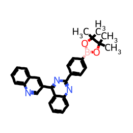 CC1(C)OB(c2ccc(-c3nc(-c4cnc5ccccc5c4)c4ccccc4n3)cc2)OC1(C)C